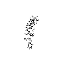 C[C@@H]1N(C)C[C@]23CCC4[C@@H](CC=C5C[C@@H](N(C)C(=O)[C@H](N)Cc6ccccc6)CC[C@@]54C)[C@@H]2CC[C@]13C